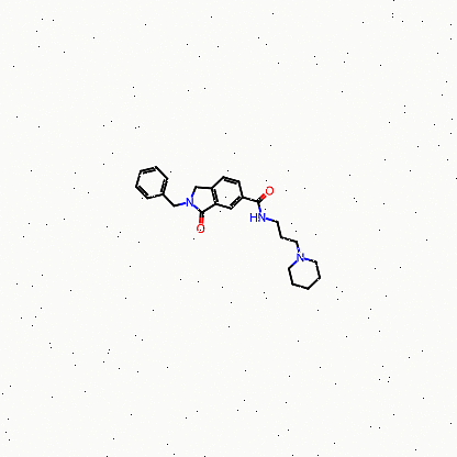 O=C(NCCCN1CCCCC1)c1ccc2c(c1)C(=O)N(Cc1ccccc1)C2